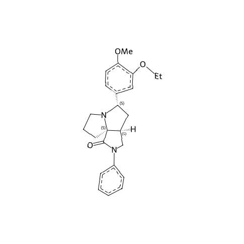 CCOc1cc([C@@H]2C[C@H]3CN(c4ccccc4)C(=O)[C@]34CCCN24)ccc1OC